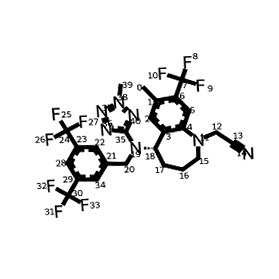 Cc1cc2c(cc1C(F)(F)F)N(CC#N)CCC[C@@H]2N(Cc1cc(C(F)(F)F)cc(C(F)(F)F)c1)c1nnn(C)n1